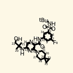 CC(C)(C)NS(=O)(=O)c1cc(F)cc(NC(=O)c2ncc(NC(C)(C)CO)nc2N2CCC3(CC2)CC3)c1